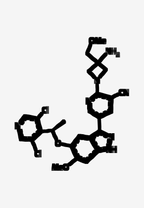 COCC1(N)CN(c2ncc(-c3n[nH]c4cc(OC)c(O[C@H](C)c5c(Cl)cncc5Cl)cc34)cc2C#N)C1